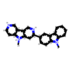 Cn1c2ccccc2c2cc(-c3cc4c(cn3)c3cnccc3n4C)ccc21